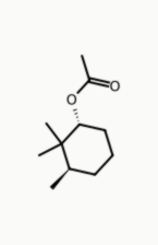 CC(=O)O[C@@H]1CCC[C@@H](C)C1(C)C